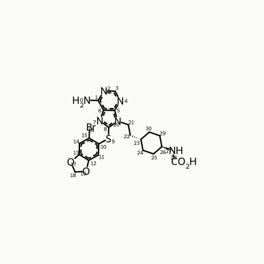 Nc1ncnc2c1nc(Sc1cc3c(cc1Br)OCO3)n2CC[C@H]1CC[C@H](NC(=O)O)CC1